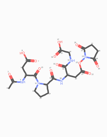 CC(=O)NC(CC(=O)O)C(=O)N1CCCC1C(=O)NC(CC(=O)ON1C(=O)CCC1=O)C(=O)NCC(=O)O